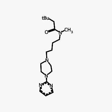 CN(CCCCN1CCN(c2ncccn2)CC1)C(=O)CC(C)(C)C